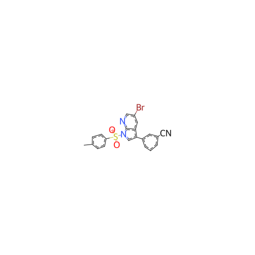 Cc1ccc(S(=O)(=O)n2cc(-c3cccc(C#N)c3)c3cc(Br)cnc32)cc1